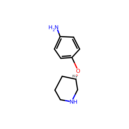 Nc1ccc(O[C@H]2CCCNC2)cc1